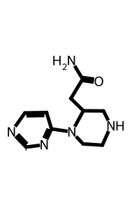 NC(=O)CC1CNCCN1c1ccn[c]n1